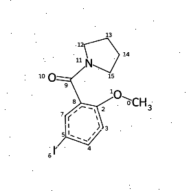 COc1ccc(I)cc1C(=O)N1CCCC1